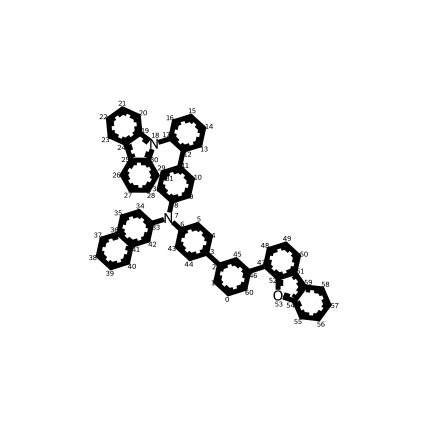 c1cc(-c2ccc(N(c3ccc(-c4ccccc4-n4c5ccccc5c5ccccc54)cc3)c3ccc4ccccc4c3)cc2)cc(-c2cccc3c2oc2ccccc23)c1